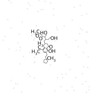 CC(=O)CC(=O)C(CO)C(CCO)CC1CC(=O)c2c(O)c(CCC3(C)CCCC3)cc(C(C)C)c2C1